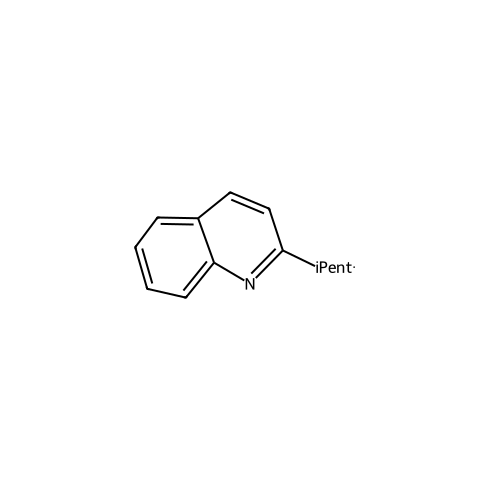 CCC[C](C)c1ccc2ccccc2n1